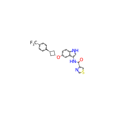 O=C(Nc1c[nH]c2ccc(O[C@H]3C[C@H](c4ccc(C(F)(F)F)cc4)C3)cc12)c1cscn1